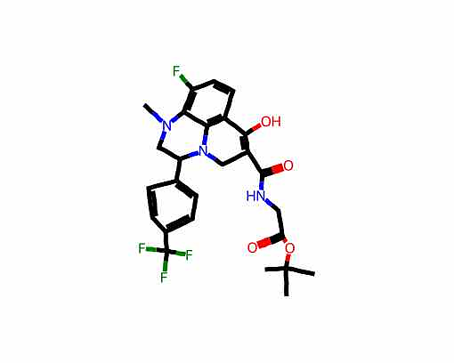 CN1CC(c2ccc(C(F)(F)F)cc2)N2CC(C(=O)NCC(=O)OC(C)(C)C)=C(O)c3ccc(F)c1c32